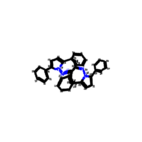 CC(=N/n1c(-c2ccccc2)ccc1-c1ccccc1)/C(C)=N\n1c(-c2ccccc2)ccc1-c1ccccc1